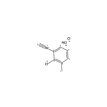 C#[N+]c1cccc(C)c1Cl.Cl.[Cl-]